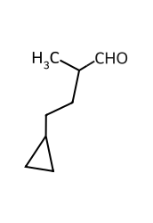 CC(C=O)CCC1CC1